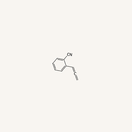 C=C=Cc1ccccc1C#N